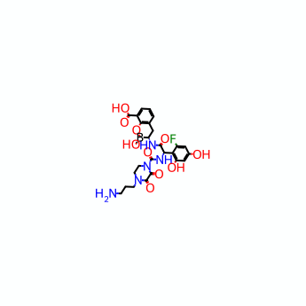 NCCCN1CCN(C(=O)N[C@@H](C(=O)N[C@H]2Cc3cccc(C(=O)O)c3OB2O)c2c(O)cc(O)cc2F)C(=O)C1=O